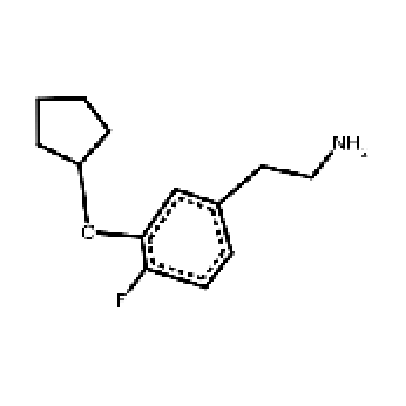 NCCc1ccc(F)c(OC2CCCC2)c1